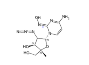 C[C@]1(CO)O[C@@H](n2ccc(N)n/c2=N\O)C(N=[N+]=[N-])[C@@H]1O